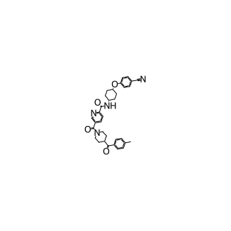 Cc1ccc(C(=O)C2CCN(C(=O)c3ccc(C(=O)N[C@H]4CC[C@@H](Oc5ccc(C#N)cc5)CC4)nc3)CC2)cc1